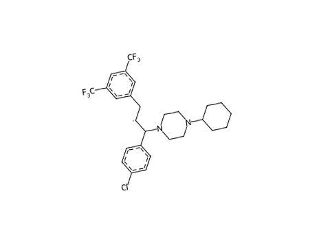 FC(F)(F)c1cc(C[CH]C(c2ccc(Cl)cc2)N2CCN(C3CCCCC3)CC2)cc(C(F)(F)F)c1